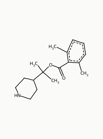 Cc1cccc(C)c1C(=O)OC(C)(C)C1CCNCC1